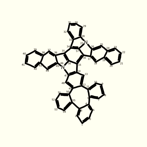 c1ccc2c(c1)-c1ccccc1-c1cc3c4c5c6cc7ccccc7cc6n6c7ccccc7c(c7c8cc9ccccc9cc8n(c3cc1-c1ccccc1-2)c47)c56